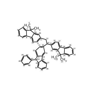 CC1(C)c2ccccc2-c2ccc(CC(c3ccc4c(c3)C(C)(C)c3ccccc3-4)c3ccc4c(c3)c3ccccc3n4-c3ccccc3)cc21